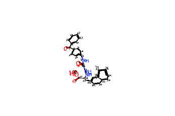 O=C(Nc1ccc(C(=O)c2ccccc2)cc1)N[C@H](Cc1ccc2ccccc2c1)C(=O)O